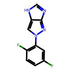 Fc1ccc(F)c(-n2cc3[nH][c]nc3n2)c1